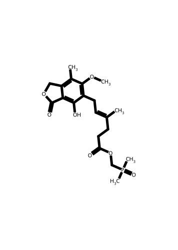 COc1c(C)c2c(c(O)c1C/C=C(\C)CCC(=O)OCP(C)(C)=O)C(=O)OC2